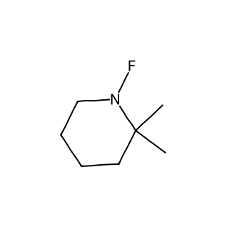 CC1(C)CCCCN1F